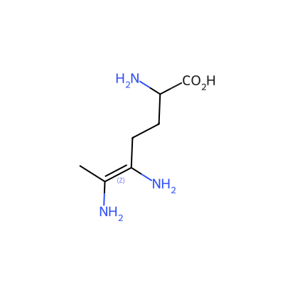 C/C(N)=C(/N)CCC(N)C(=O)O